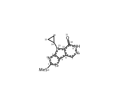 CSc1nc2c(s1)c1cn[nH]c(=O)c1n2C1CC1